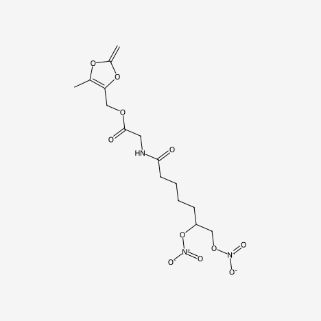 C=C1OC(C)=C(COC(=O)CNC(=O)CCCCC(CO[N+](=O)[O-])O[N+](=O)[O-])O1